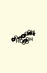 CC(C)NCC(O)COc1ccc(OCCOC2CCCC2)cc1.O=C(O)CC(=O)O